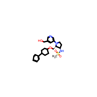 CS(=O)(=O)N[C@H]1CCN(c2cncc(CO)c2)[C@H]1COC1CCC(c2ccccc2)CC1